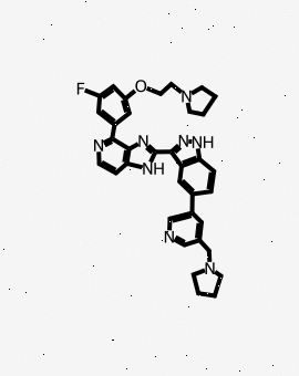 Fc1cc(OCCN2CCCC2)cc(-c2nccc3[nH]c(-c4n[nH]c5ccc(-c6cncc(CN7CCCC7)c6)cc45)nc23)c1